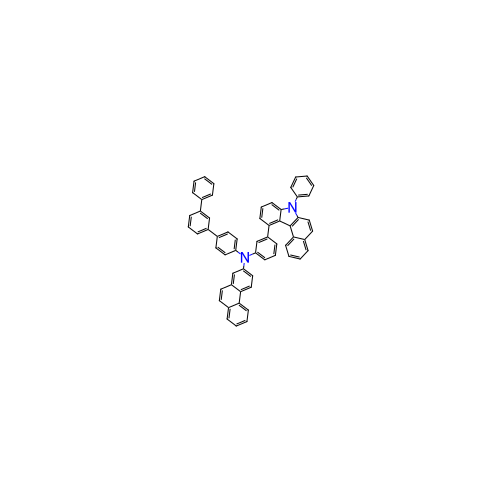 c1ccc(-c2cccc(-c3ccc(N(c4cccc(-c5cccc6c5c5c7ccccc7ccc5n6-c5ccccc5)c4)c4ccc5c(ccc6ccccc65)c4)cc3)c2)cc1